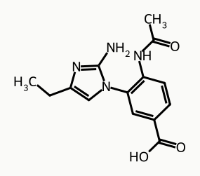 CCc1cn(-c2cc(C(=O)O)ccc2NC(C)=O)c(N)n1